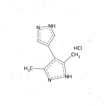 Cc1n[nH]c(C)c1-c1cn[nH]c1.Cl